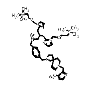 CC(=O)N(Cc1ccc(CN2CCC3(CCN(Cc4sccc4C)CC3)C2)cc1)CC(Cc1nccn1COCC[Si](C)(C)C)Cc1nccn1COCC[Si](C)(C)C